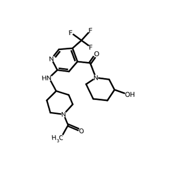 CC(=O)N1CCC(Nc2cc(C(=O)N3CCCC(O)C3)c(C(F)(F)F)cn2)CC1